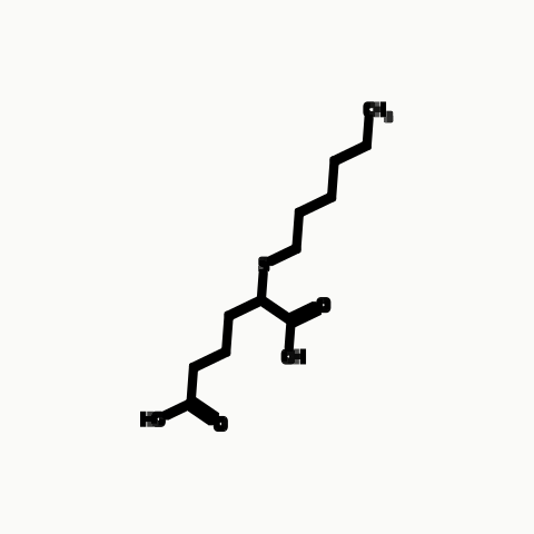 CCCCCCSC(CCCC(=O)O)C(=O)O